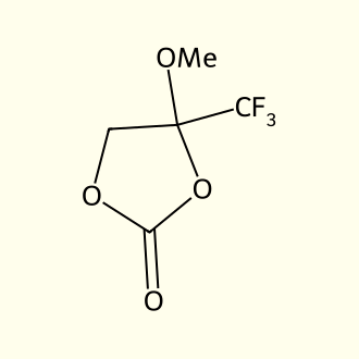 COC1(C(F)(F)F)COC(=O)O1